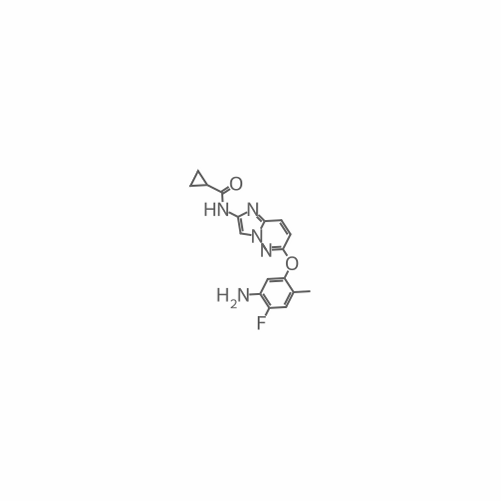 Cc1cc(F)c(N)cc1Oc1ccc2nc(NC(=O)C3CC3)cn2n1